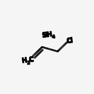 C=CCCl.[SiH4]